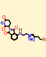 O=C1CCC(N2C(=O)c3cccc(NCCn4cc(CCBr)nn4)c3C2=O)C(=O)N1